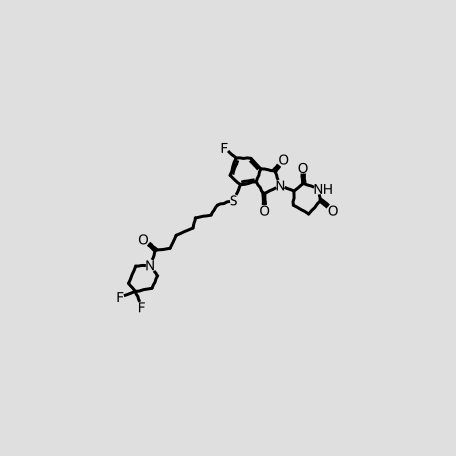 O=C1CCC(N2C(=O)c3cc(F)cc(SCCCCCCC(=O)N4CCC(F)(F)CC4)c3C2=O)C(=O)N1